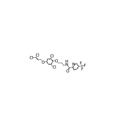 O=C(NCCCOc1c(Cl)cc(OCC=C(Cl)Cl)cc1Cl)c1ccc(C(F)(F)F)cn1